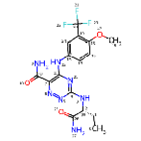 CC[C@@H](Nc1nnc(C(N)=O)c(Nc2ccc(OC)c(C(F)(F)F)c2)n1)C(N)=O